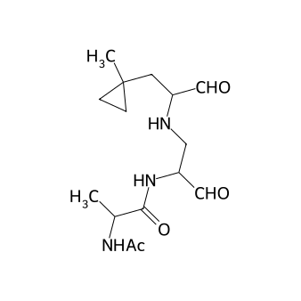 CC(=O)NC(C)C(=O)NC(C=O)CNC(C=O)CC1(C)CC1